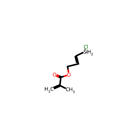 C=C(C)C(=O)OCC=C[SiH2]Cl